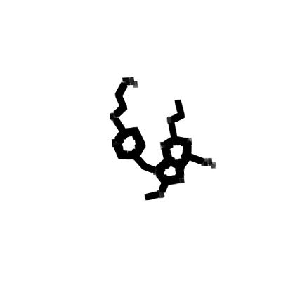 CCOc1nc(N)c2nc(OC)n(Cc3ccc(OCCN)nc3)c2n1